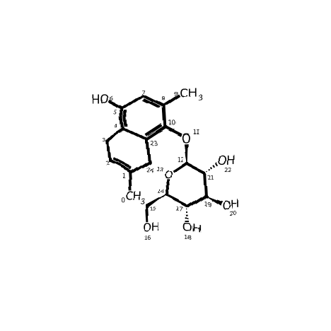 CC1=CCc2c(O)cc(C)c(O[C@@H]3O[C@H](CO)[C@@H](O)[C@H](O)[C@H]3O)c2C1